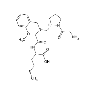 COc1ccccc1CN(CC(=O)NC(CCSC)C(=O)O)C[C@@H]1CCCN1C(=O)CN